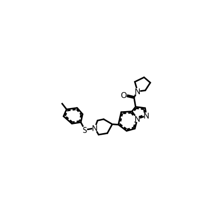 Cc1ccc(SN2CCC(c3ccn4ncc(C(=O)N5CCCC5)c4c3)CC2)cc1